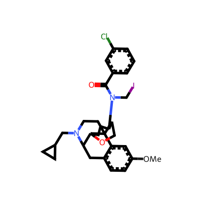 COc1ccc2c(c1)C13CCN(CC4CC4)C(C2)C12CCC(N(CI)C(=O)c1cccc(Cl)c1)C3CO2